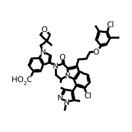 Cc1cc(OCCCc2c3n(c4c(-c5c(C)nn(C)c5C)c(Cl)ccc24)C(C)CN(c2cn(CC4(C)COC4)c4ccc(C(=O)O)cc24)C3=O)cc(C)c1Cl